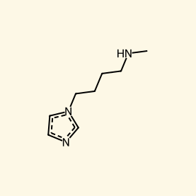 CNCCCCn1ccnc1